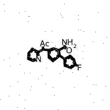 CC(=O)C(c1ccc(-c2ccc(F)cc2)c(C(N)=O)c1)c1ccccn1